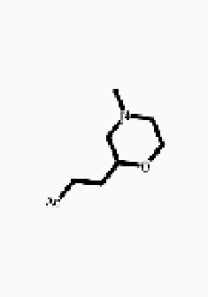 CC(=O)CCC1CN(C)CCO1